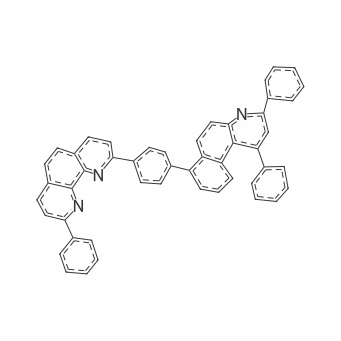 c1ccc(-c2cc(-c3ccccc3)c3c(ccc4c(-c5ccc(-c6ccc7ccc8ccc(-c9ccccc9)nc8c7n6)cc5)cccc43)n2)cc1